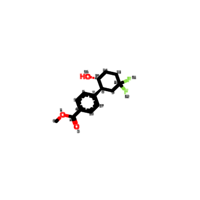 COC(=O)c1ccc([C@@H]2CC(F)(F)CC[C@H]2O)cc1